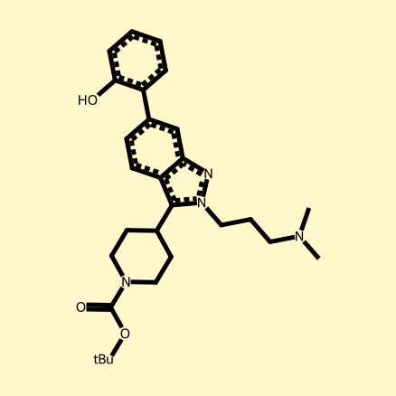 CN(C)CCCn1nc2cc(-c3ccccc3O)ccc2c1C1CCN(C(=O)OC(C)(C)C)CC1